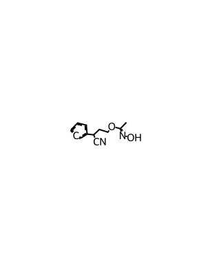 CC(=NO)OCCC(C#N)c1ccccc1